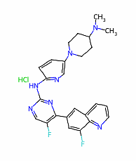 CN(C)C1CCN(c2ccc(Nc3ncc(F)c(-c4cc(F)c5ncccc5c4)n3)nc2)CC1.Cl